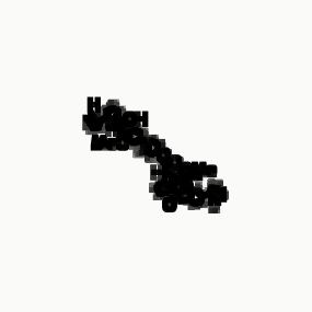 COCCOc1cc(-c2ccnn2C)ccc1CNC(=O)[C@@H]1CCCN1C(=O)[C@@H](NC(=O)CO[C@H]1CCN(c2ccc(NC(O)c3cccc(-c4ccn[nH]4)n3)c(OC)c2)[C@@H](C)C1)C(C)(C)C